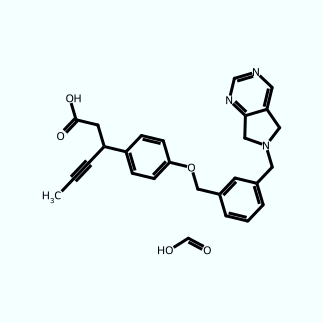 CC#CC(CC(=O)O)c1ccc(OCc2cccc(CN3Cc4cncnc4C3)c2)cc1.O=CO